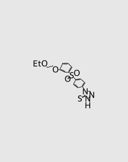 CCOCCOc1cccc(S(=O)(=O)c2ccc(-n3cn[nH]c3=S)cc2)c1